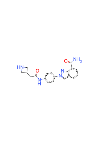 NC(=O)c1cccc2cn(-c3ccc(NC(=O)CC4CNC4)cc3)nc12